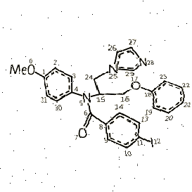 COc1ccc(N(C(=O)c2ccc(I)cc2)C(COc2ccccc2)Cn2ccnc2)cc1